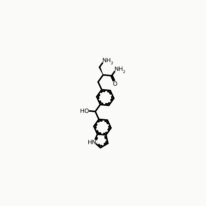 NC[C@H](Cc1cccc(C(O)c2ccc3cc[nH]c3c2)c1)C(N)=O